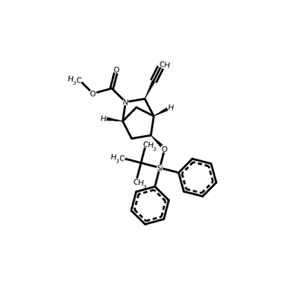 C#C[C@H]1[C@H]2C[C@H](C[C@@H]2O[Si](c2ccccc2)(c2ccccc2)C(C)(C)C)N1C(=O)OC